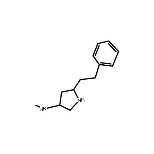 CNC1CNC(CCc2ccccc2)C1